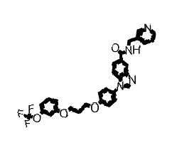 O=C(NCc1cccnc1)c1ccc2c(c1)ncn2-c1ccc(OCCCOc2cccc(OC(F)(F)F)c2)cc1